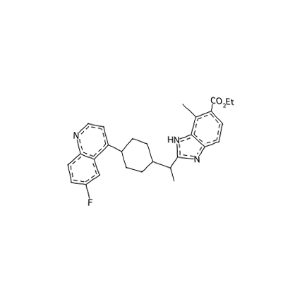 CCOC(=O)c1ccc2nc(C(C)C3CCC(c4ccnc5ccc(F)cc45)CC3)[nH]c2c1C